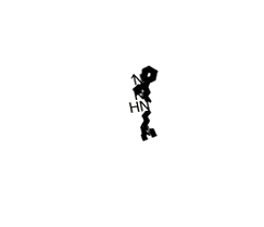 CCN(CC)CCCCNCc1cc2c3ccccc3n(C)c2cn1